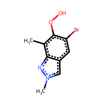 Cc1c(OO)c(Br)cc2cn(C)nc12